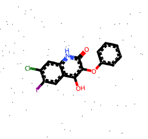 O=c1[nH]c2cc(Cl)c(I)cc2c(O)c1Oc1ccccc1